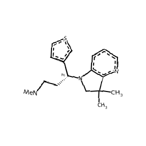 CNCC[C@H](c1ccsc1)N1CC(C)(C)c2ncccc21